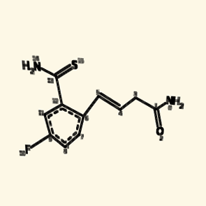 NC(=O)CC=Cc1c[c]c(F)cc1C(N)=S